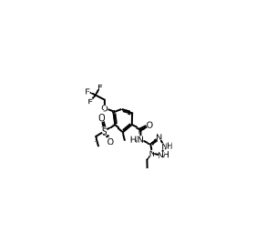 CCN1NNN=C1NC(=O)c1ccc(OCC(F)(F)F)c(S(=O)(=O)CC)c1C